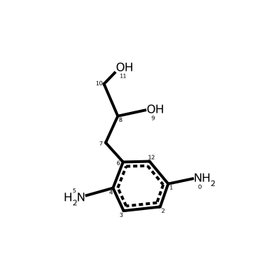 Nc1ccc(N)c(CC(O)CO)c1